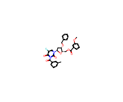 COc1cccc(C(=O)OC[C@H]2O[C@@H](n3cc(F)c(=O)n(C(=O)c4cccc(C)c4)c3=O)C[C@@H]2OCc2ccccc2)c1